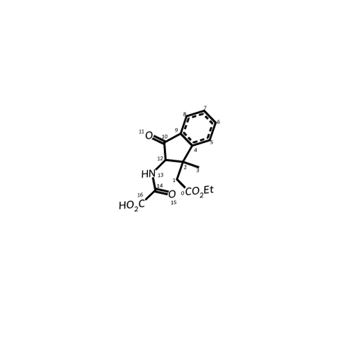 CCOC(=O)CC1(C)c2ccccc2C(=O)C1NC(=O)C(=O)O